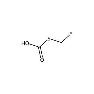 O=C(O)SCF